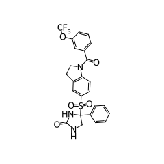 O=C1NCC(c2ccccc2)(S(=O)(=O)c2ccc3c(c2)CCN3C(=O)c2cccc(OC(F)(F)F)c2)N1